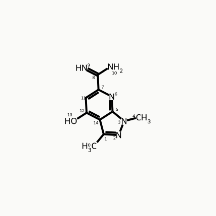 Cc1nn(C)c2nc(C(=N)N)cc(O)c12